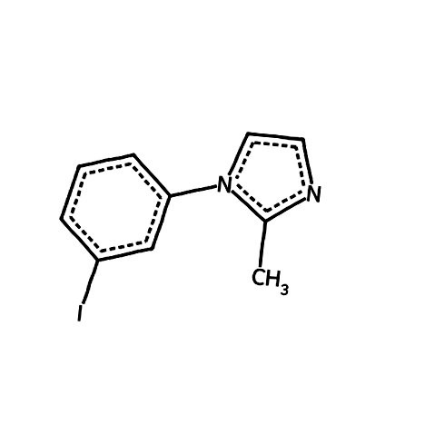 Cc1nccn1-c1cccc(I)c1